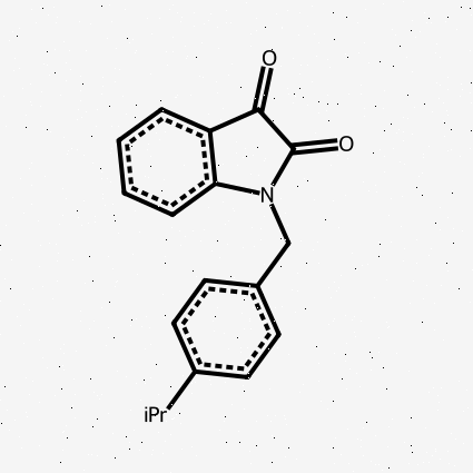 CC(C)c1ccc(CN2C(=O)C(=O)c3ccccc32)cc1